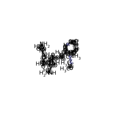 CO[C@@H](/C(C)=C/C=C/C(C)=C/c1coc(C)n1)[C@@H](C)[C@@H]1C[C@H](O[Si](C)(C)CCCS(=O)(=O)CCSCC(NC(=O)C(CC(=O)O)NC(=O)C(CCCNC(=N)N)NC(=O)CCC(NC(=O)c2ccc(NCc3cnc4nc(N)[nH]c(=O)c4n3)cc2)C(=O)O)C(=O)O)[C@H]2O[C@@H]2/C=C/[C@@H](C)[C@H]2C[C@H](CC(=O)O2)C[C@@H]2O[C@H]2C(=O)O1